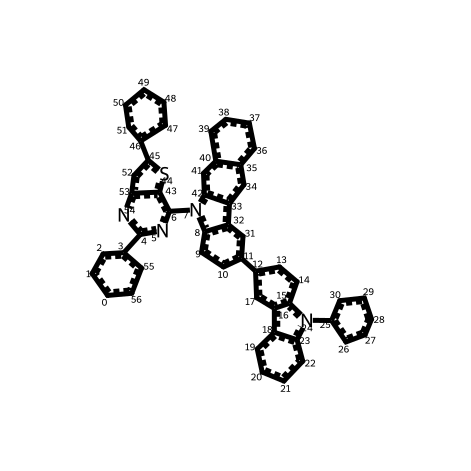 c1ccc(-c2nc(-n3c4ccc(-c5ccc6c(c5)c5ccccc5n6-c5ccccc5)cc4c4cc5ccccc5cc43)c3sc(-c4ccccc4)cc3n2)cc1